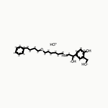 Cl.OCc1cc(C(O)CNCCCCCCOCCCCc2ccccc2)ccc1O